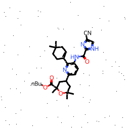 CCCCOC(=O)C1(C)CC(c2ccc(NC(=O)c3nc(C#N)c[nH]3)c(C3=CCC(C)(C)CC3)n2)CC(C)(C)O1